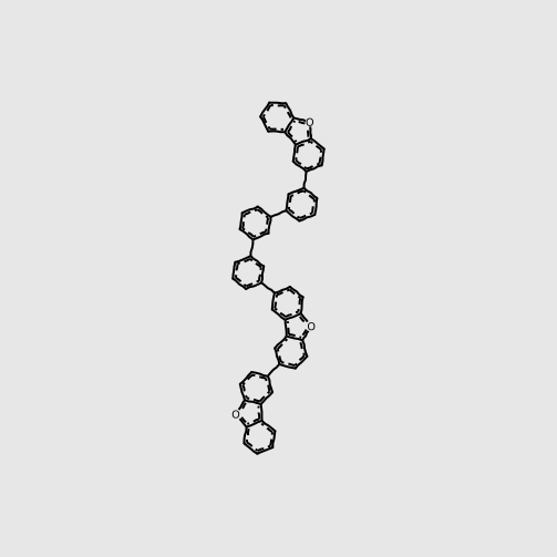 c1cc(-c2cccc(-c3ccc4oc5ccccc5c4c3)c2)cc(-c2cccc(-c3ccc4oc5ccc(-c6ccc7oc8ccccc8c7c6)cc5c4c3)c2)c1